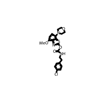 COc1ccc(N2CCOCC2)c2sc(OC(=O)NCCc3ccc(Cl)cc3)nc12